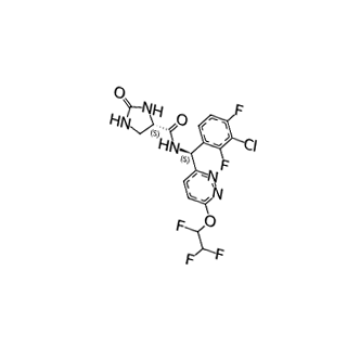 O=C1NC[C@@H](C(=O)N[C@H](c2ccc(OC(F)C(F)F)nn2)c2ccc(F)c(Cl)c2F)N1